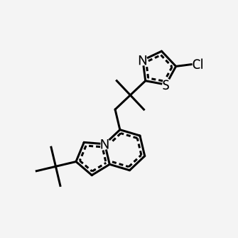 CC(C)(C)c1cc2cccc(CC(C)(C)c3ncc(Cl)s3)n2c1